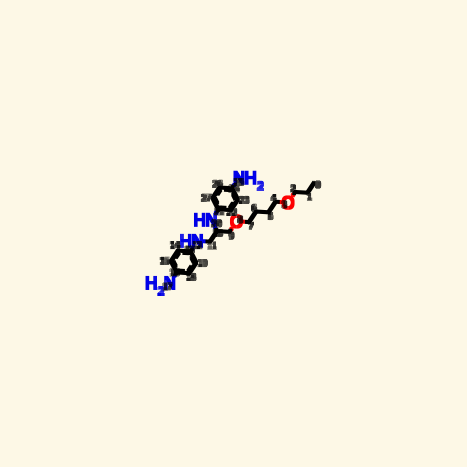 CCCOCCCCOCC(CNc1ccc(N)cc1)Nc1ccc(N)cc1